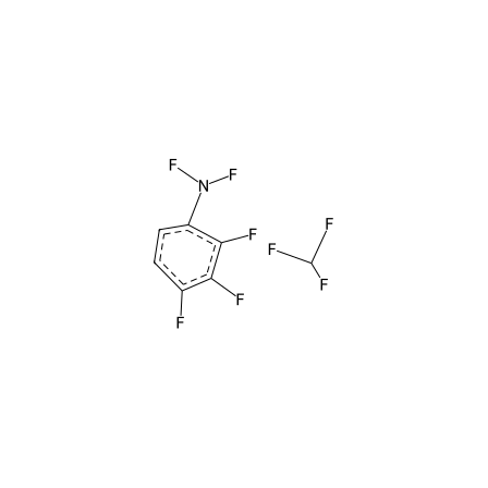 FC(F)F.Fc1ccc(N(F)F)c(F)c1F